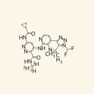 [2H]C([2H])([2H])NC(=O)c1nnc(NC(=O)C2CC2)cc1Nc1nccc2c1N(C)[C@H](C)c1c-2nnn1C(F)F